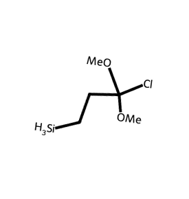 COC(Cl)(CC[SiH3])OC